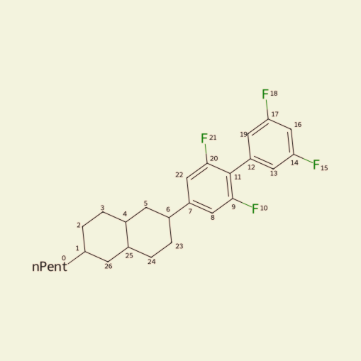 CCCCCC1CCC2CC(c3cc(F)c(-c4cc(F)cc(F)c4)c(F)c3)CCC2C1